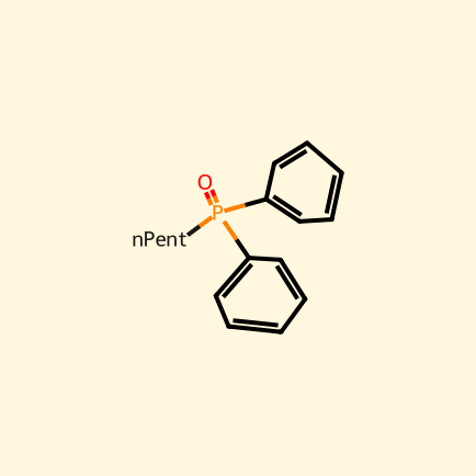 CCCCCP(=O)(c1ccccc1)c1ccccc1